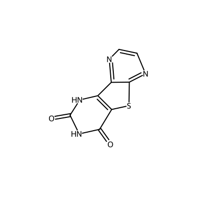 O=c1[nH]c(=O)c2sc3nccnc3c2[nH]1